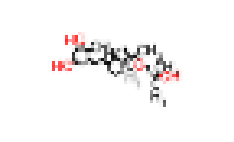 C=C1C(=CC=C2CCC[C@]3(C)C([C@H](C)OCCC(C)(C)O)=CC[C@@H]23)C[C@@H](O)C[C@@H]1O